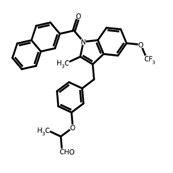 Cc1c(Cc2cccc(OC(C)C=O)c2)c2cc(OC(F)(F)F)ccc2n1C(=O)c1ccc2ccccc2c1